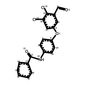 O=[C]c1cc(Oc2ccc(NC(=O)c3ccccc3)cc2)cc(Cl)c1Cl